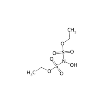 CCOS(=O)(=O)N(O)S(=O)(=O)OCC